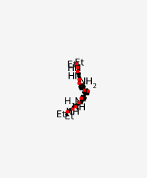 CCC(CC)CNCCCNCCC(N)Cc1ccc(-c2cccc(-c3ccc(CC(N)CCNCCCNCC(CC)CC)cc3)c2)cc1